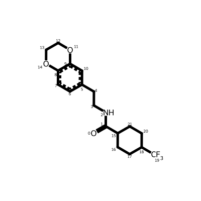 O=C(NCCc1ccc2c(c1)OCCO2)C1CCC(C(F)(F)F)CC1